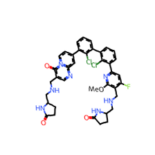 COc1nc(-c2cccc(-c3cccc(-c4ccn5c(=O)c(CNCC6CCC(=O)N6)cnc5c4)c3Cl)c2Cl)cc(F)c1CNCC1CCC(=O)N1